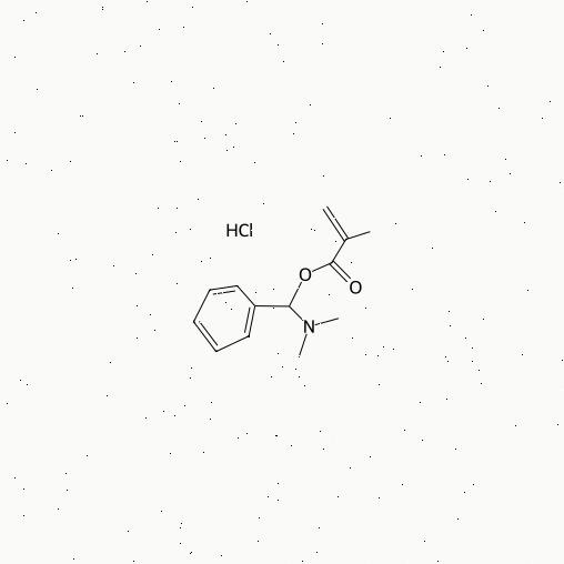 C=C(C)C(=O)OC(c1ccccc1)N(C)C.Cl